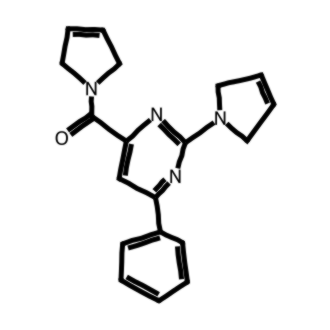 O=C(c1cc(-c2ccccc2)nc(N2CC=CC2)n1)N1CC=CC1